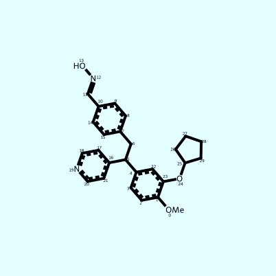 COc1ccc(C(Cc2ccc(C=NO)cc2)c2ccncc2)cc1OC1CCCC1